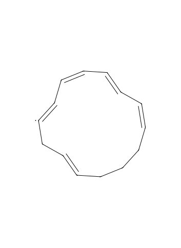 [C]1=C/C=C\C=C\C=C/CCC/C=C/C/1